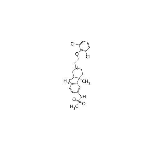 CC1CN(CCOc2c(Cl)cccc2Cl)CCC1(C)c1cccc(NS(C)(=O)=O)c1